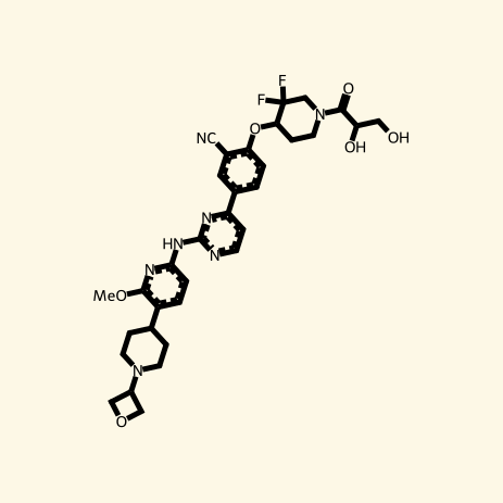 COc1nc(Nc2nccc(-c3ccc(OC4CCN(C(=O)C(O)CO)CC4(F)F)c(C#N)c3)n2)ccc1C1CCN(C2COC2)CC1